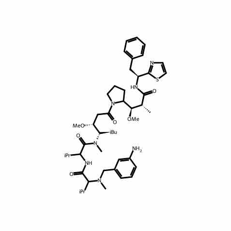 CC[C@H](C)[C@@H]([C@@H](CC(=O)N1CCCC1[C@H](OC)[C@@H](C)C(=O)N[C@@H](Cc1ccccc1)c1nccs1)OC)N(C)C(=O)C(NC(=O)C(C(C)C)N(C)Cc1cccc(N)c1)C(C)C